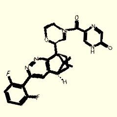 CC1(C)[C@H]2CC[C@]1([C@@H]1CN(C(=O)c3c[nH]c(=O)cn3)CCO1)c1nnc(-c3c(F)cccc3F)cc12